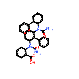 NC(=O)N(c1[c]ccc(N(C(N)=O)c2ccccc2C(=O)O)c1-c1ccccc1)c1ccccc1-c1ccccc1